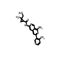 CC(=O)OCC1(C)CC1C(=O)Nc1cc2cc(-c3cnccc3C)nc(N)c2cn1